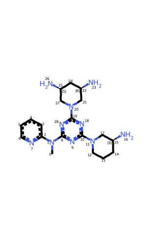 CN(c1ccccn1)c1nc(N2CCC[C@H](N)C2)nc(N2C[C@H](N)C[C@H](N)C2)n1